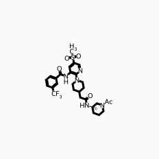 CC(=O)N1CCC[C@H](NC(=O)CC2CCN(c3ncc(S(C)(=O)=O)cc3NC(=O)c3cccc(C(F)(F)F)c3)CC2)C1